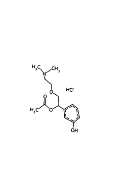 CC(=O)OC(COCCN(C)C)c1cccc(O)c1.Cl